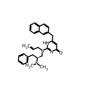 C=CCN(C[C@H](Cc1ccccc1)N(C)C)c1nc(=O)cc(Cc2ccc3ccccc3c2)[nH]1